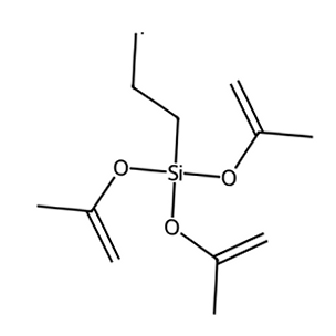 [CH2]CC[Si](OC(=C)C)(OC(=C)C)OC(=C)C